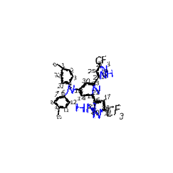 Cc1ccc(N(c2ccc(C)cc2)c2cc(-c3cc(C(F)(F)F)n[nH]3)nc(-c3cc(C(F)(F)F)n[nH]3)c2)cc1